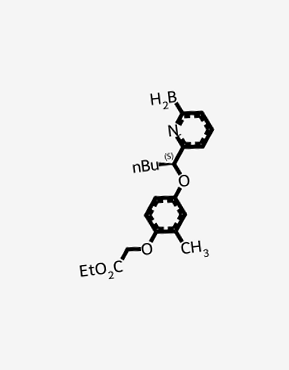 Bc1cccc([C@H](CCCC)Oc2ccc(OCC(=O)OCC)c(C)c2)n1